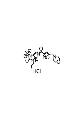 CCC[C@H]1C(=O)N(S(C)(=O)=O)C2=CN(C(=O)c3cc(CN4CCOCC4)on3)C[C@@H]21.Cl